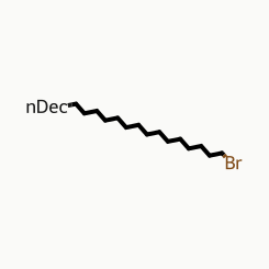 CCCCCCCCCCCCCCCCCCCCCCCCCBr